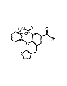 NS(=O)(=O)c1cc(C(=O)O)cc(Cc2ccsc2)c1Oc1ccccc1